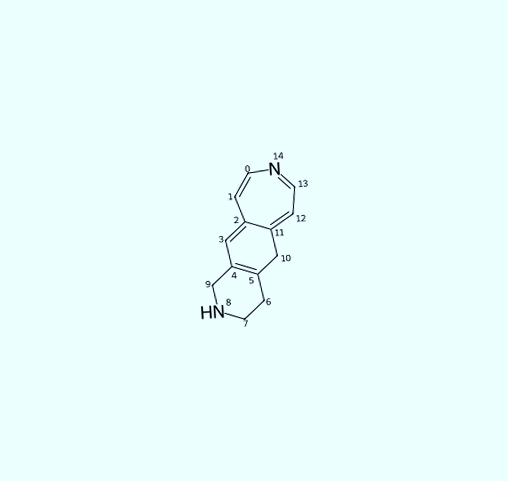 C1=CC2=CC3=C(CCNC3)CC2=CC=N1